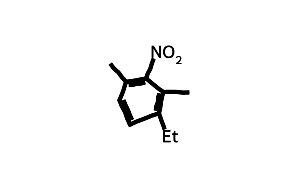 [CH2]Cc1ccc(C)c([N+](=O)[O-])c1C